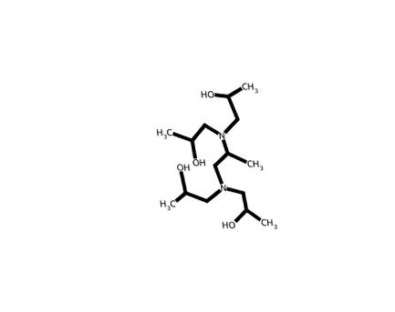 CC(O)CN(CC(C)O)CC(C)N(CC(C)O)CC(C)O